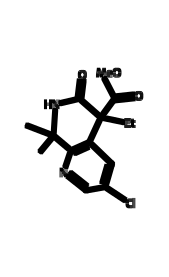 CCC1(C(=O)OC)C(=O)NC(C)(C)c2ncc(Cl)cc21